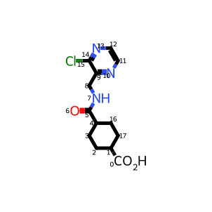 O=C(O)C1CCC(C(=O)NCc2nccnc2Cl)CC1